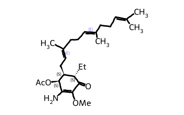 CC[C@@H]1C(=O)C(OC)=C(N)[C@@H](OC(C)=O)[C@H]1C/C=C(\C)CC/C=C(\C)CCC=C(C)C